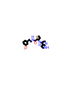 COc1cccc(CCNC(=O)c2sccc2Nc2ccnc3[nH]ccc23)c1